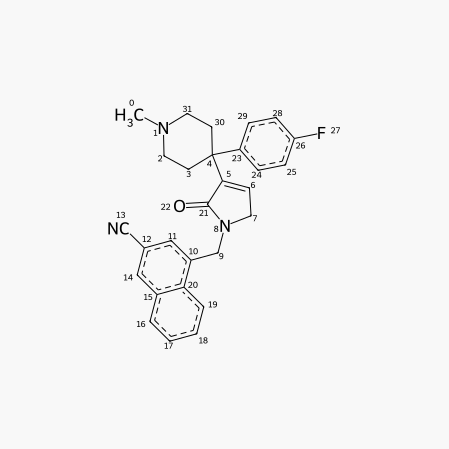 CN1CCC(C2=CCN(Cc3cc(C#N)cc4ccccc34)C2=O)(c2ccc(F)cc2)CC1